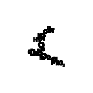 CN(C)C(=O)COc1cnc(N[C@H]2CC[C@@H](Oc3nc(N4CCOCC4)cc4ncc(OCc5cnc([N+](=O)[O-])n5C)cc34)CC2)nc1